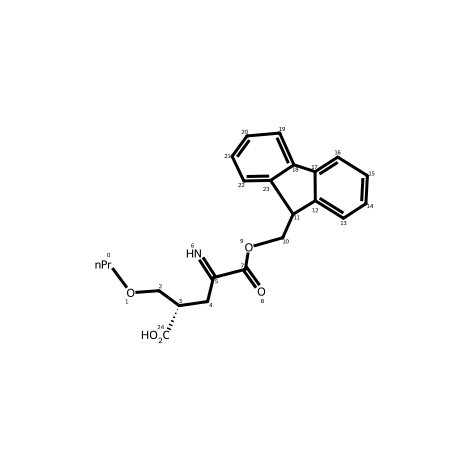 CCCOC[C@H](CC(=N)C(=O)OCC1c2ccccc2-c2ccccc21)C(=O)O